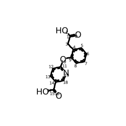 O=C(O)Cc1ccccc1Oc1ccc(C(=O)O)cn1